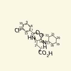 O=C(O)CCC(NC(=O)c1cccc(Cl)c1)C(=O)NC1CCCCC1